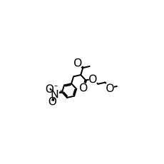 COCCOC(=O)C(Cc1cccc([N+](=O)[O-])c1)C(C)=O